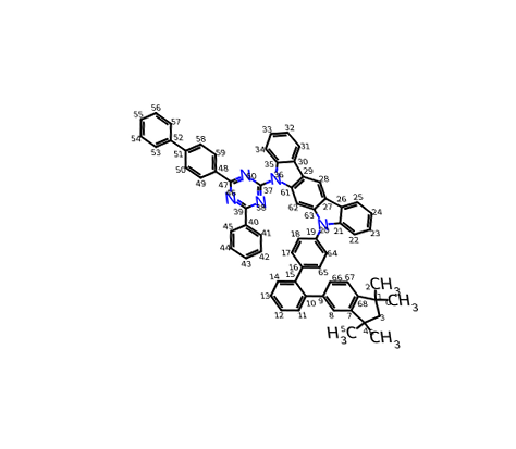 CC1(C)CC(C)(C)c2cc(-c3ccccc3-c3ccc(-n4c5ccccc5c5cc6c7ccccc7n(-c7nc(-c8ccccc8)nc(-c8ccc(-c9ccccc9)cc8)n7)c6cc54)cc3)ccc21